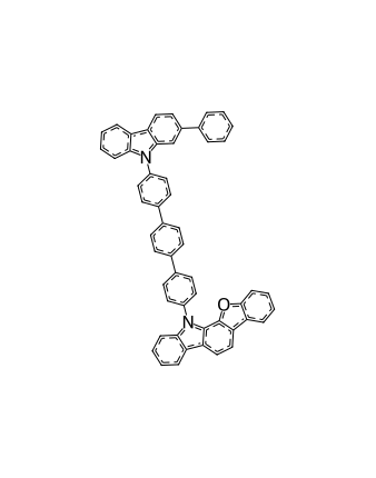 c1ccc(-c2ccc3c4ccccc4n(-c4ccc(-c5ccc(-c6ccc(-n7c8ccccc8c8ccc9c%10ccccc%10oc9c87)cc6)cc5)cc4)c3c2)cc1